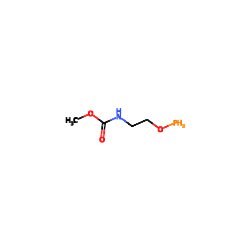 COC(=O)NCCOP